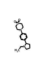 CCN1CCCC1c1ccc(N2CCS(=O)(=O)CC2)cc1